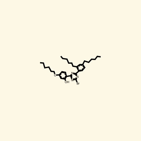 CCCCCCOc1ccc(-c2nc(Br)nc(-c3ccc(CCCCCC)cc3CCCCCC)n2)c(O)c1